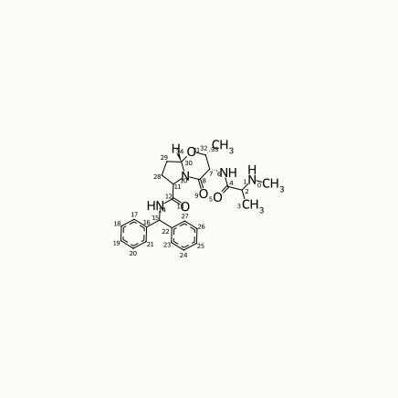 CNC(C)C(=O)N[C@@H]1C(=O)N2C(C(=O)NC(c3ccccc3)c3ccccc3)CC[C@@H]2O[C@@H]1C